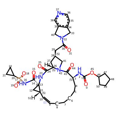 O=C(N[C@H]1CCCCC/C=C\[C@@H]2C[C@@]2(C(=O)NS(=O)(=O)C2CC2)NC(=O)[C@@H]2C[C@@H](CC(=O)N3Cc4ccncc4C3)CN2C1=O)OC1CCCC1